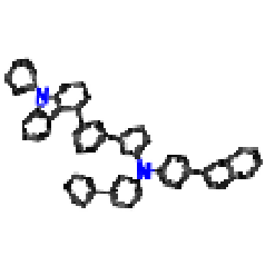 c1ccc(-c2cccc(N(c3ccc(-c4ccc5ccccc5c4)cc3)c3cccc(-c4cccc(-c5cccc6c5c5ccccc5n6-c5ccccc5)c4)c3)c2)cc1